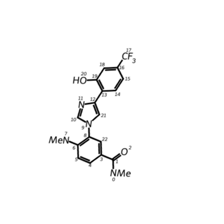 CNC(=O)c1ccc(NC)c(-n2cnc(-c3ccc(C(F)(F)F)cc3O)c2)c1